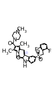 Cc1[nH]c(/C=C2\C(=O)Nc3ccc(S(=O)(=O)Cc4c(F)cccc4F)cc32)c(C)c1C(=O)N1CCN(C)CC1